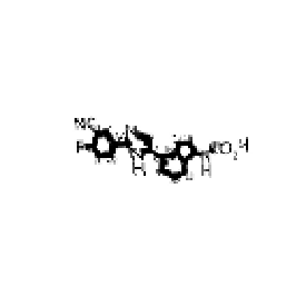 N#Cc1cc(-c2ncc(-c3cccc4c3CCC4NC(=O)O)[nH]2)ccc1F